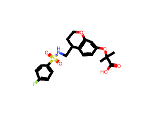 CC(C)(Oc1ccc2c(c1)OCCC2CNS(=O)(=O)c1ccc(F)cc1)C(=O)O